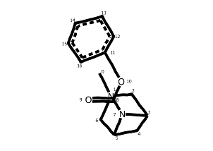 CN1CC2CC(C1)N2C(=O)Oc1ccccc1